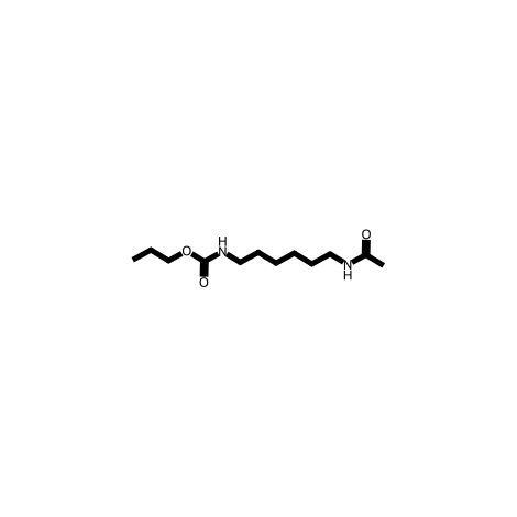 CCCOC(=O)NCCCCCCNC(C)=O